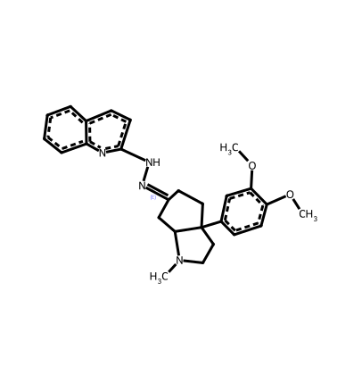 COc1ccc(C23CC/C(=N\Nc4ccc5ccccc5n4)CC2N(C)CC3)cc1OC